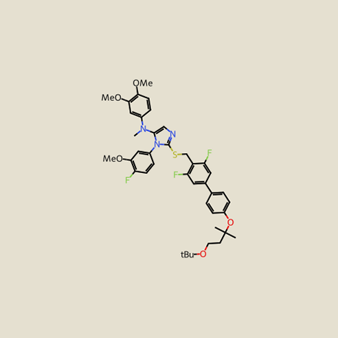 COc1cc(-n2c(N(C)c3ccc(OC)c(OC)c3)cnc2SCc2c(F)cc(-c3ccc(OC(C)(C)CCOC(C)(C)C)cc3)cc2F)ccc1F